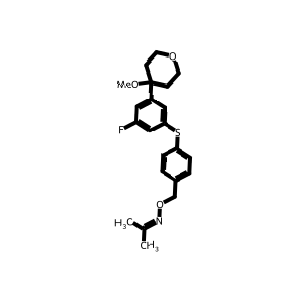 COC1(c2cc(F)cc(Sc3ccc(CON=C(C)C)cc3)c2)CCOCC1